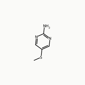 CSc1cnc(N)nc1